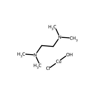 CN(C)CCN(C)C.[OH][Cu][Cl]